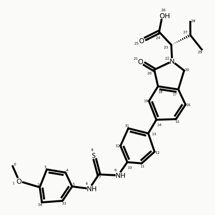 COc1ccc(NC(=S)Nc2ccc(-c3ccc4c(c3)C(=O)N([C@H](C(=O)O)C(C)C)C4)cc2)cc1